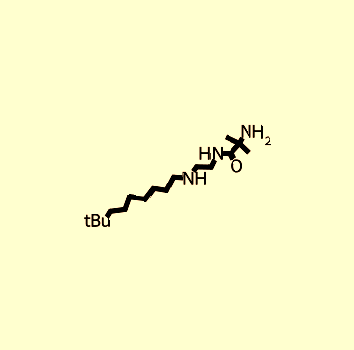 CC(C)(C)CCCCCCCNCCNC(=O)C(C)(C)N